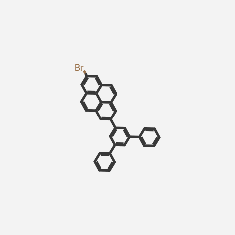 Brc1cc2ccc3cc(-c4cc(-c5ccccc5)cc(-c5ccccc5)c4)cc4ccc(c1)c2c34